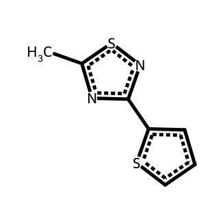 Cc1nc(-c2cccs2)ns1